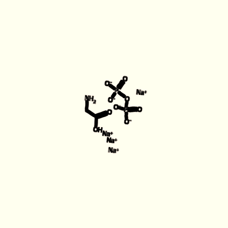 NCC(=O)O.O=P([O-])([O-])OP(=O)([O-])[O-].[Na+].[Na+].[Na+].[Na+]